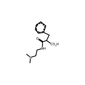 CN(C)CCNC(=O)C(Cc1ccccc1)C(=O)O